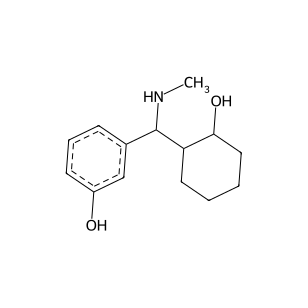 CNC(c1cccc(O)c1)C1CCCCC1O